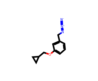 [N-]=[N+]=NCc1cccc(OCC2CC2)c1